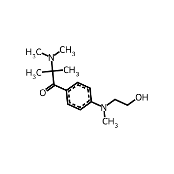 CN(CCO)c1ccc(C(=O)C(C)(C)N(C)C)cc1